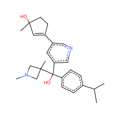 CC(C)c1ccc(C(O)(c2cncc(C3=CC(C)(O)CC3)c2)C2(C)CN(C)C2)cc1